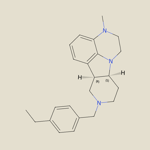 CCc1ccc(CN2CC[C@H]3[C@@H](C2)c2cccc4c2N3CCN4C)cc1